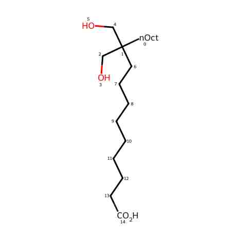 CCCCCCCCC(CO)(CO)CCCCCCCCC(=O)O